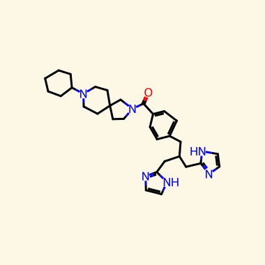 O=C(c1ccc(CC(Cc2ncc[nH]2)Cc2ncc[nH]2)cc1)N1CCC2(CCN(C3CCCCC3)CC2)C1